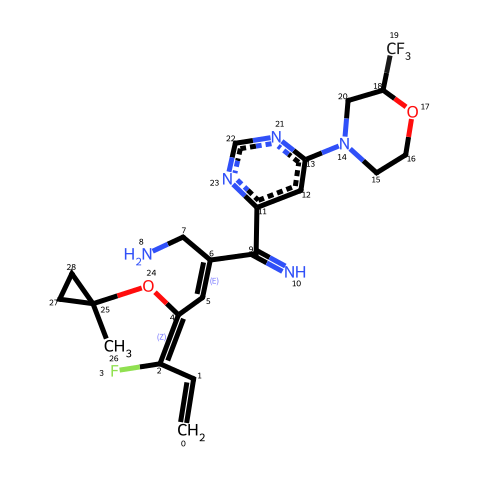 C=C/C(F)=C(\C=C(/CN)C(=N)c1cc(N2CCOC(C(F)(F)F)C2)ncn1)OC1(C)CC1